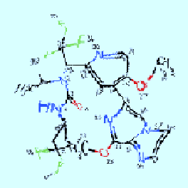 CCN(C(=O)NC1CC1(F)F)[C@@H](c1cc(-c2cn3ccnc3c(OC)n2)c(OC)cn1)C(F)(F)F